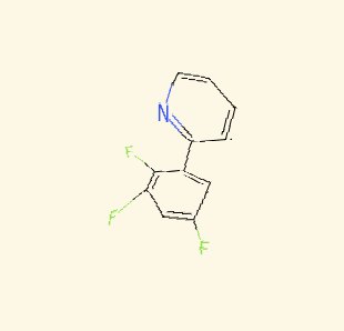 Fc1cc(F)c(F)c(-c2[c]cccn2)c1